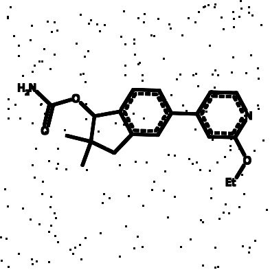 CCOc1cc(-c2ccc3c(c2)CC(C)(C)C3OC(N)=O)ccn1